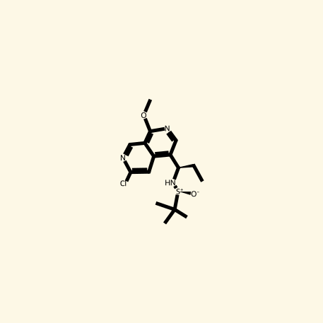 CC[C@@H](N[S@@+]([O-])C(C)(C)C)c1cnc(OC)c2cnc(Cl)cc12